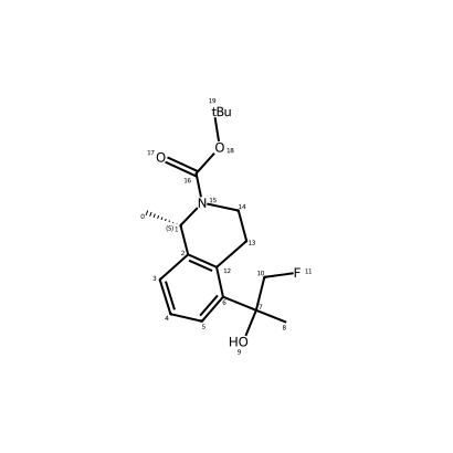 C[C@H]1c2cccc(C(C)(O)CF)c2CCN1C(=O)OC(C)(C)C